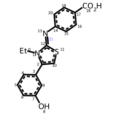 CCn1c(-c2cccc(O)c2)cs/c1=N\c1ccc(C(=O)O)cc1